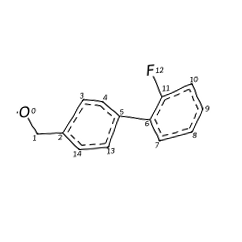 [O]Cc1ccc(-c2ccccc2F)cc1